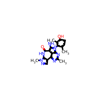 Cc1nc2c3c(c(N)n(-c4c(C)ccc(O)c4C)c3n1)C(=O)Nc1c-2cnn1C